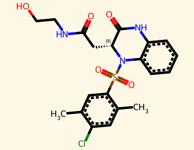 Cc1cc(S(=O)(=O)N2c3ccccc3NC(=O)[C@H]2CC(=O)NCCO)c(C)cc1Cl